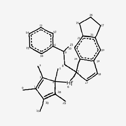 CC1=C(C)[C](C)([Hf][C]2(CC(C)c3ccccc3)C=Cc3cc4c(cc32)CCC4)C(C)=C1C